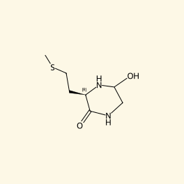 CSCC[C@H]1NC(O)CNC1=O